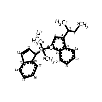 CCC(C)c1c[c-]([Si](C)(C)C2C=Cc3ccccc32)c2ccccc12.[Li+]